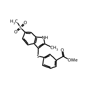 COC(=O)c1cccc(Sc2c(C)[nH]c3cc(S(C)(=O)=O)ccc23)c1